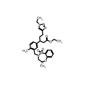 CCOC(=O)CC(CCc1cn(CC)nn1)c1ccc(C)c(CN2C[C@@H](C)Oc3ccccc3S2(=O)=O)c1